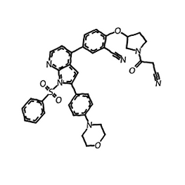 N#CCC(=O)N1CCC(Oc2ccc(-c3ccnc4c3cc(-c3ccc(N5CCOCC5)cc3)n4S(=O)(=O)c3ccccc3)cc2C#N)C1